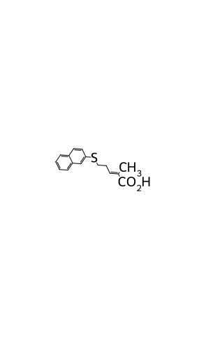 CC(=CCCSc1ccc2ccccc2c1)C(=O)O